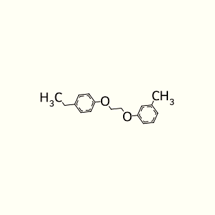 CCc1ccc(OCCOc2cccc(C)c2)cc1